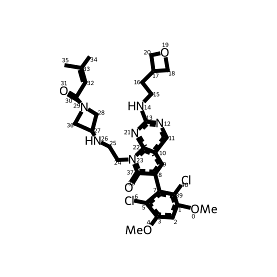 COc1cc(OC)c(Cl)c(-c2cc3cnc(NCCC4COC4)nc3n(CCNC3CN(C(=O)C=C(C)C)C3)c2=O)c1Cl